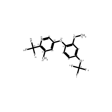 COc1cc(OC(F)(F)F)ccc1Oc1cnc(C(F)(F)F)c(C)c1